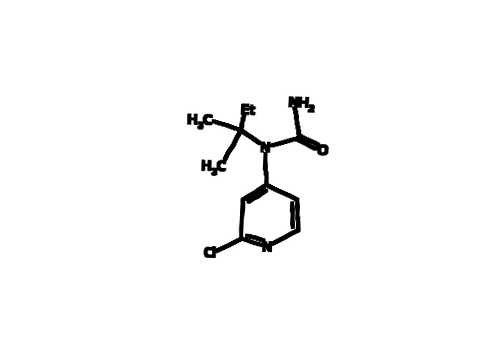 CCC(C)(C)N(C(N)=O)c1ccnc(Cl)c1